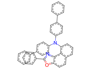 c1ccc(-c2ccc(N(c3ccc(-c4ccccc4)cc3)c3cccc4ccc5oc(-c6ccccc6)nc5c34)cc2)cc1